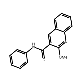 COc1nc2ccccc2cc1C(=O)Nc1ccccc1